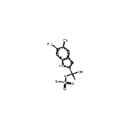 CCS(=O)(=O)OC(C)(O)c1cc2cc(C#N)c(C(F)(F)F)cc2[nH]1